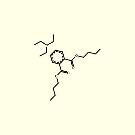 CCCCOC(=O)c1ccccc1C(=O)OCCCC.CCN(CC)CC